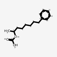 CC(CCCCCCc1ccccc1)OC(=O)O